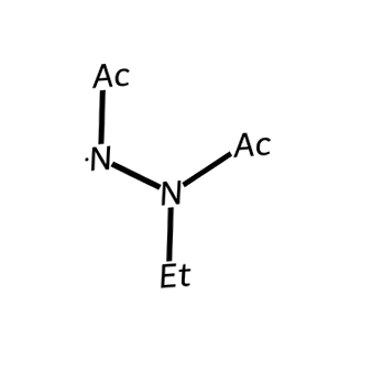 CCN([N]C(C)=O)C(C)=O